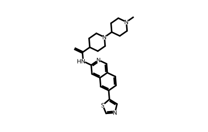 C=C(Nc1cc2cc(-c3cncs3)ccc2cn1)C1CCN(C2CCN(C)CC2)CC1